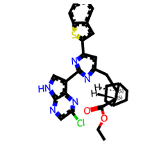 CCOC(=O)[C@H]1C2CCC(CC2)[C@@H]1Cc1cc(-c2cc3ccccc3s2)nc(-c2c[nH]c3ncc(Cl)nc23)n1